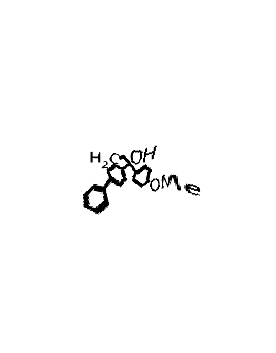 C=CC(O)(c1ccc(OC)cc1)c1ccc(-c2ccccc2)cc1